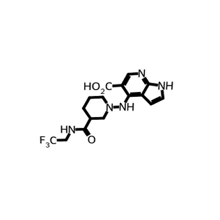 O=C(O)c1cnc2[nH]ccc2c1NN1CCCC(C(=O)NCC(F)(F)F)C1